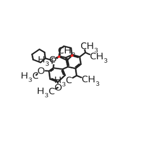 COc1cc(OC)c(P(C2CCCCC2)C2CCCCC2)c(-c2c(C(C)C)cc(C(C)C)cc2C(C)C)c1